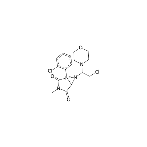 CN1C(=O)C2N(C(CCl)N3CCOCC3)[N+]2(c2ccccc2Cl)C1=O